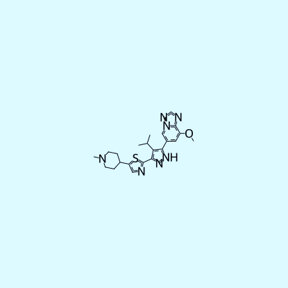 COc1cc(-c2[nH]nc(-c3ncc(C4CCN(C)CC4)s3)c2C(C)C)cn2ncnc12